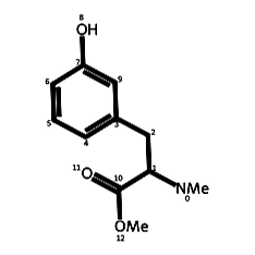 CNC(Cc1cccc(O)c1)C(=O)OC